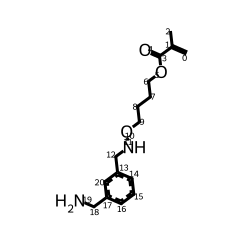 C=C(C)C(=O)OCCCCONCc1cccc(CN)c1